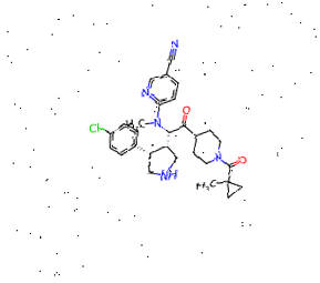 CN(c1ccc(C#N)cn1)C(C(=O)C1CCN(C(=O)C2(C)CC2)CC1)[C@@H]1CNC[C@@H]1c1ccc(Cl)cc1